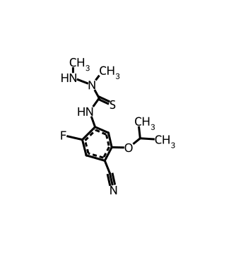 CNN(C)C(=S)Nc1cc(OC(C)C)c(C#N)cc1F